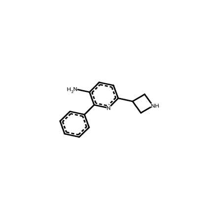 Nc1ccc(C2CNC2)nc1-c1ccccc1